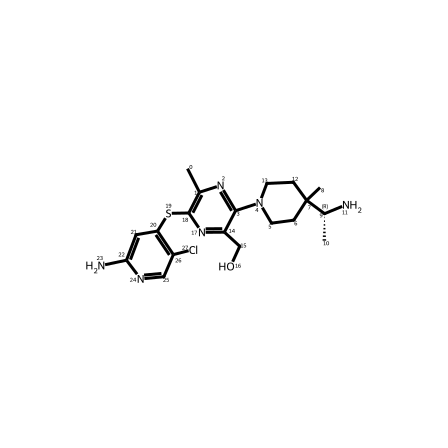 Cc1nc(N2CCC(C)([C@@H](C)N)CC2)c(CO)nc1Sc1cc(N)ncc1Cl